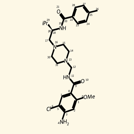 COc1cc(N)c(Cl)cc1C(=O)NCN1CCN(C[C@H](NC(=O)c2ccc(C)cc2)C(C)C)CC1